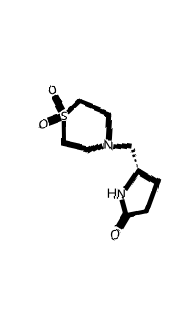 O=C1CC[C@@H](CN2CCS(=O)(=O)CC2)N1